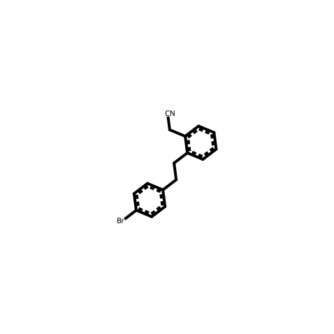 N#CCc1ccccc1CCc1ccc(Br)cc1